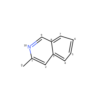 [CH2]c1cc2ccccc2cn1